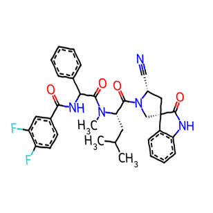 CC(C)C[C@@H](C(=O)N1C[C@]2(C[C@H]1C#N)C(=O)Nc1ccccc12)N(C)C(=O)C(NC(=O)c1ccc(F)c(F)c1)c1ccccc1